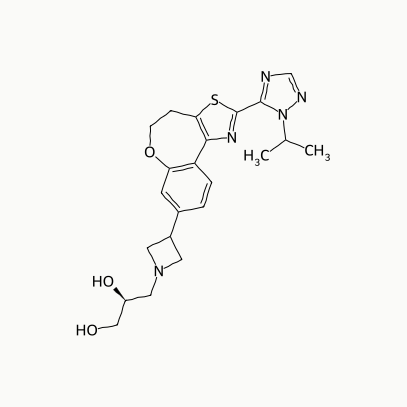 CC(C)n1ncnc1-c1nc2c(s1)CCOc1cc(C3CN(C[C@H](O)CO)C3)ccc1-2